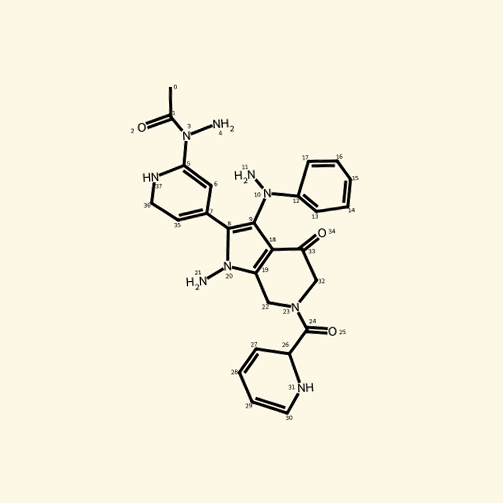 CC(=O)N(N)C1=CC(c2c(N(N)c3ccccc3)c3c(n2N)CN(C(=O)C2C=CC=CN2)CC3=O)=CCN1